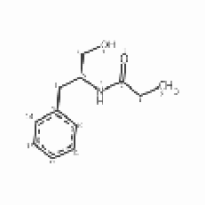 CCC(=O)N[C@H](CO)Cc1ccccc1